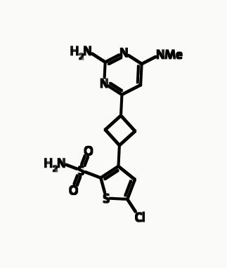 CNc1cc(C2CC(c3cc(Cl)sc3S(N)(=O)=O)C2)nc(N)n1